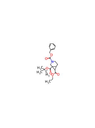 CCOC(=O)C1C2CCN(C(=O)OCc3ccccc3)CC21C(=O)OC(C)(C)C